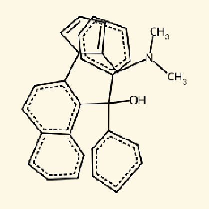 CN(C)CC1=CC=CC1c1ccc2ccccc2c1C(O)(c1ccccc1)c1ccccc1